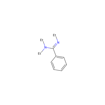 CCN=C(c1ccccc1)N(CC)CC